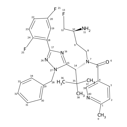 Cc1ccc(C(=O)N(CC[C@H](N)CF)[C@@H](c2nc(-c3cc(F)ccc3F)nn2Cc2ccccc2)C(C)(C)C)cn1